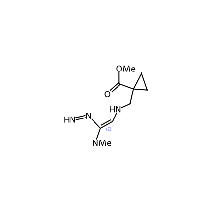 CN/C(=C/NCC1(C(=O)OC)CC1)N=N